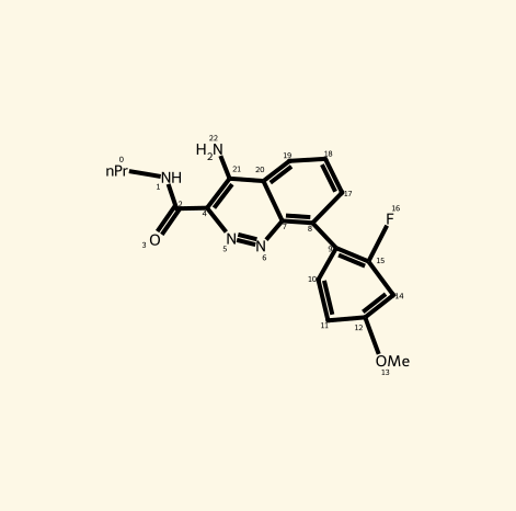 CCCNC(=O)c1nnc2c(-c3ccc(OC)cc3F)cccc2c1N